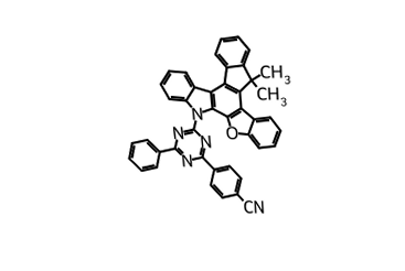 CC1(C)c2ccccc2-c2c1c1c3ccccc3oc1c1c2c2ccccc2n1-c1nc(-c2ccccc2)nc(-c2ccc(C#N)cc2)n1